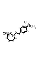 CN(C)c1ccc(CCN2CCCC[C@@H](Cl)C2)cc1